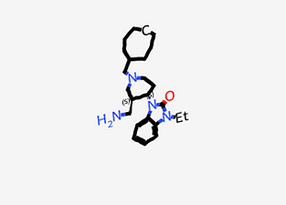 CCn1c(=O)n([C@H]2CCN(CC3CCCCCCC3)C[C@@H]2CN)c2ccccc21